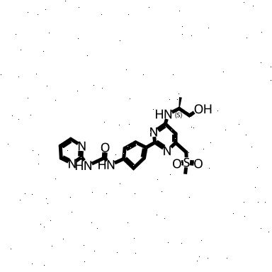 C[C@@H](CO)Nc1cc(CS(C)(=O)=O)nc(-c2ccc(NC(=O)Nc3ncccn3)cc2)n1